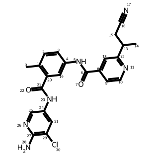 Cc1ccc(NC(=O)c2ccnc(C(C)CC#N)c2)cc1C(=O)Nc1cnc(N)c(Cl)c1